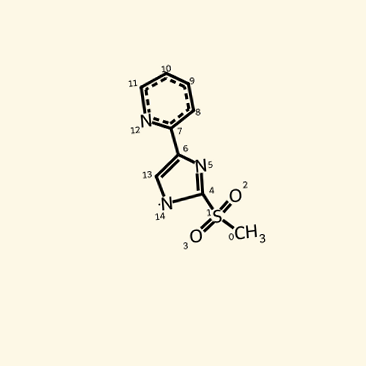 CS(=O)(=O)C1=NC(c2ccccn2)=C[N]1